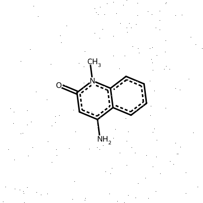 Cn1c(=O)cc(N)c2ccccc21